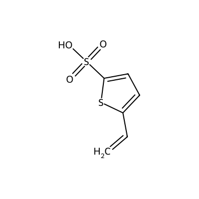 C=Cc1ccc(S(=O)(=O)O)s1